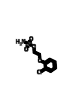 NS(=O)(=O)OCCOc1ccccc1Cl